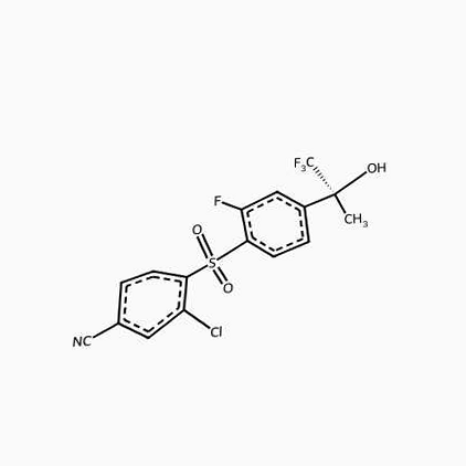 C[C@](O)(c1ccc(S(=O)(=O)c2ccc(C#N)cc2Cl)c(F)c1)C(F)(F)F